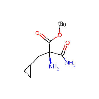 CC(C)(C)OC(=O)[C@@](N)(CC1CC1)C(N)=O